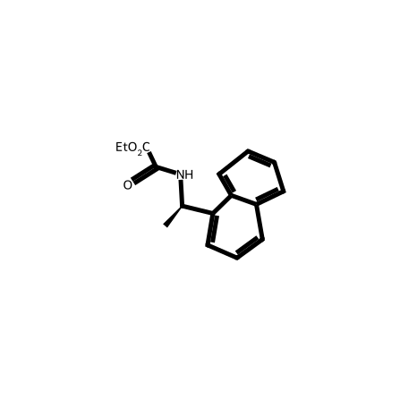 CCOC(=O)C(=O)N[C@H](C)c1cccc2ccccc12